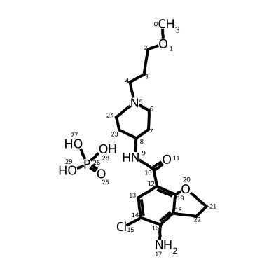 COCCCN1CCC(NC(=O)c2cc(Cl)c(N)c3c2OCC3)CC1.O=P(O)(O)O